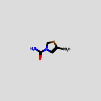 NC(=O)N1C=C(C(=O)O)SC1